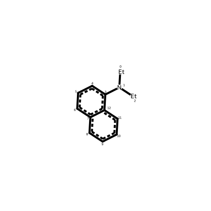 CCN(CC)c1cccc2c[c]ccc12